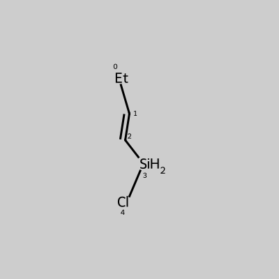 CCC=C[SiH2]Cl